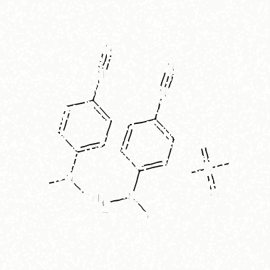 CN(C)c1ccc([N+]#N)cc1.CN(C)c1ccc([N+]#N)cc1.O=S(=O)([O-])[O-]